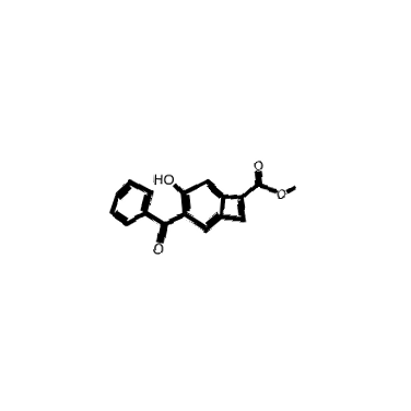 COC(=O)C1=Cc2cc(C(=O)c3ccccc3)c(O)cc21